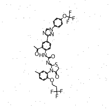 CC(=O)c1cc(-c2ncn(-c3ccc(OC(F)(F)F)cc3)n2)ccc1NC(=O)/N=C1\SCC(=O)N1c1cc(C)ccc1OCCC(F)(F)F